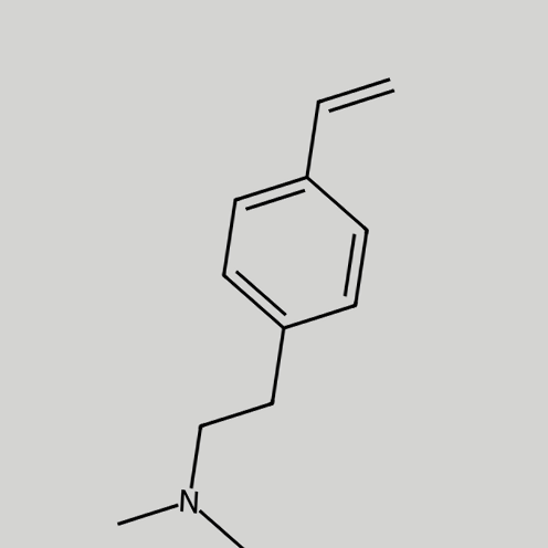 C=Cc1ccc(CCN(C)C)cc1